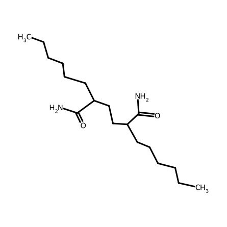 CCCCCCC(CCC(CCCCCC)C(N)=O)C(N)=O